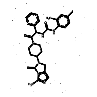 Cc1cc(I)ccc1NC(=O)NC(C(=O)N1CCC(N2Cc3cnc(C)n3C2=O)CC1)c1ccccc1